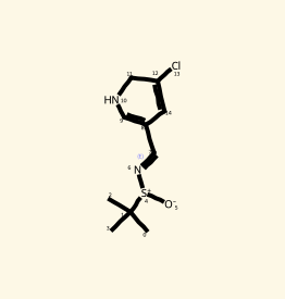 CC(C)(C)[S+]([O-])/N=C/C1=CNCC(Cl)=C1